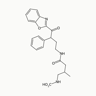 CC(CNC(=O)O)CC(=O)NCCC(C(=O)c1nc2ccccc2o1)c1ccccc1